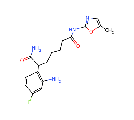 Cc1cnc(NC(=O)CCCCC(C(N)=O)c2ccc(F)cc2N)o1